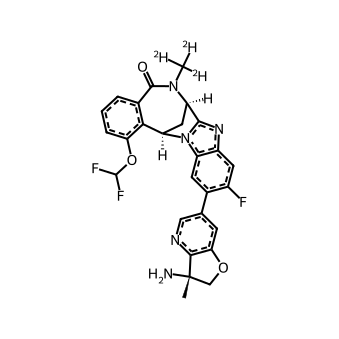 [2H]C([2H])([2H])N1C(=O)c2cccc(OC(F)F)c2[C@H]2C[C@@H]1c1nc3cc(F)c(-c4cnc5c(c4)OC[C@]5(C)N)cc3n12